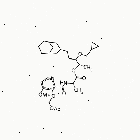 COc1ccnc(C(=O)N[C@@H](C)C(=O)O[C@@H](C)[C@@H](CCC2CC3CCCC(C3)C2)OCC2CC2)c1OCOC(C)=O